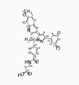 COc1ccc2cc(-c3cc(-c4cc(Cl)cc(Cl)c4)nn3C(C)c3ccc(C(=O)NCCC(=O)O)cc3)cnc2c1